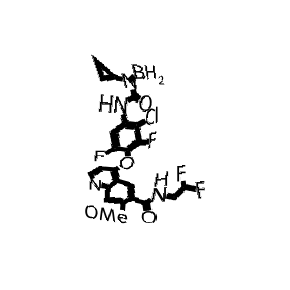 BN(C(=O)Nc1cc(F)c(Oc2ccnc3cc(OC)c(C(=O)NCC(F)F)cc23)c(F)c1Cl)C1CC1